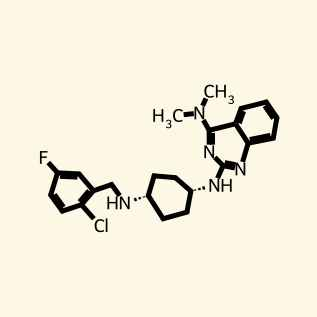 CN(C)c1nc(N[C@H]2CC[C@@H](NCc3cc(F)ccc3Cl)CC2)nc2ccccc12